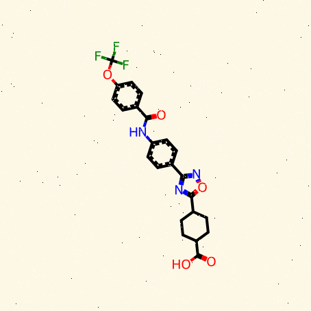 O=C(Nc1ccc(-c2noc(C3CCC(C(=O)O)CC3)n2)cc1)c1ccc(OC(F)(F)F)cc1